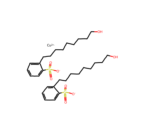 O=S(=O)([O-])c1ccccc1CCCCCCCCCO.O=S(=O)([O-])c1ccccc1CCCCCCCCCO.[Cu+2]